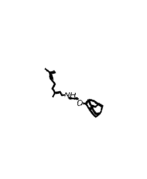 CC(C)=CCC/C(C)=C/CNCCOC1C2CC3CC(C2)CC1C3